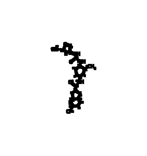 Cc1cc(NC(=O)c2cn3nc(Cl)ccc3n2)ccc1NC(=O)Nc1cc(C(C)(C)C)on1